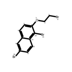 BrCCOc1ccc2cc(Br)ccc2c1Br